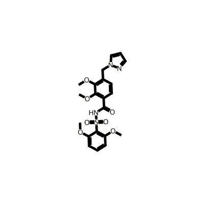 COc1cccc(OC)c1S(=O)(=O)NC(=O)c1ccc(Cn2cccn2)c(OC)c1OC